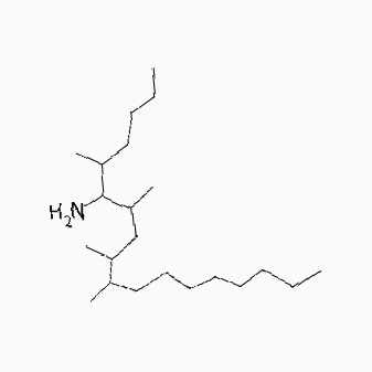 CCCCCCCCC(C)C(C)CC(C)C(N)C(C)CCCC